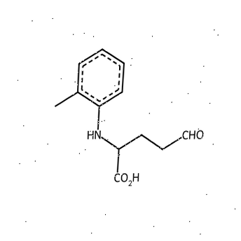 Cc1ccccc1NC(CCC=O)C(=O)O